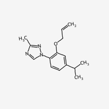 C=CCOc1cc(C(C)C)ccc1-n1cnc(C)n1